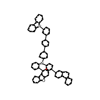 c1cc(-c2ccc(-c3ccc(N(c4ccc(-c5ccc6c(ccc7ccccc76)c5)cc4)c4ccccc4-c4cccc5oc6ccccc6c45)cc3)cc2)cc(-n2c3ccccc3c3ccccc32)c1